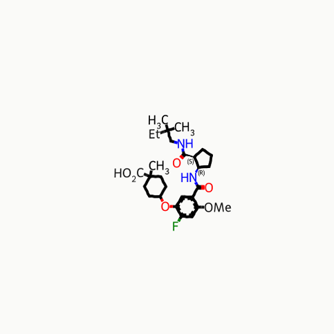 CCC(C)(C)CNC(=O)[C@H]1CCC[C@H]1NC(=O)c1cc(OC2CCC(C)(C(=O)O)CC2)c(F)cc1OC